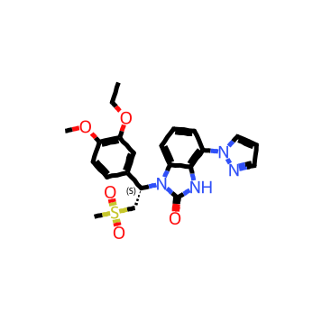 CCOc1cc([C@@H](CS(C)(=O)=O)n2c(=O)[nH]c3c(-n4cccn4)cccc32)ccc1OC